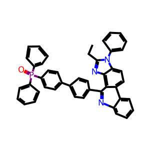 CCc1nc2c3c(-c4ccc(-c5ccc(P(=O)(c6ccccc6)c6ccccc6)cc5)cc4)nc4ccccc4c3ccc2n1-c1ccccc1